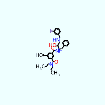 C#Cc1cc(C(=O)N[C@@H](Cc2ccccc2)[C@H](O)CNCc2cccc(I)c2)cc(C(=O)N(CCC)CCC)c1